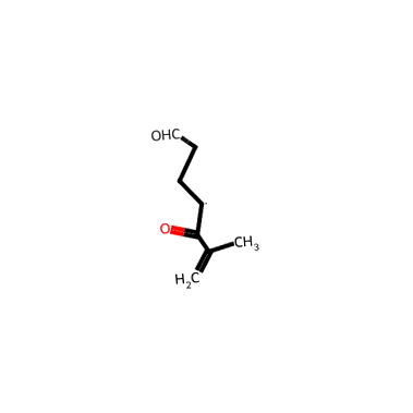 C=C(C)C(=O)[CH]CCC=O